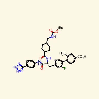 Cc1cc(C(=O)O)ccc1-c1ccc(C[C@H](NC(=O)C2CCC(CNC(=O)OC(C)(C)C)CC2)C(=O)Nc2ccc(-c3nn[nH]n3)cc2)cc1F